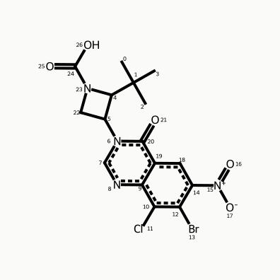 CC(C)(C)C1C(n2cnc3c(Cl)c(Br)c([N+](=O)[O-])cc3c2=O)CN1C(=O)O